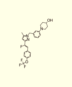 Cc1cc(/C(F)=C/c2ccc(OC(F)(F)F)cc2)nn1Cc1cccc(N2CCC(O)CC2)c1